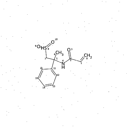 C=CC(=O)NC(C)(C[SH](=O)=O)c1ccccc1